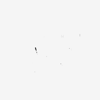 C[C@H](C(=O)O)n1cnc2c1C(=O)N(C)C(O)N2C